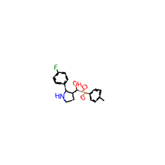 Cc1ccc(S(=O)(=O)C(O)C2CCNC2c2ccc(F)cc2)cc1